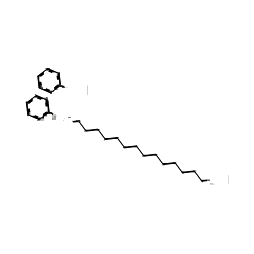 CCCCCCCCCCCCCCCC.Oc1ccccc1.Oc1ccccc1